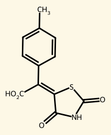 Cc1ccc(C(C(=O)O)=C2SC(=O)NC2=O)cc1